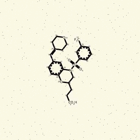 O=C(O)CCC1CN(S(=O)(=O)c2cccc(C(F)(F)F)c2)c2cc(C=C3CCOCC3)ccc2O1